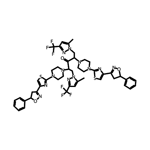 Cc1cc(C(F)(F)F)nn1CC(C(=O)C(Cn1nc(C(F)(F)F)cc1C)N1CCN(c2nc(C3=NOC(c4ccccc4)C3)cs2)CC1)N1CCN(c2nc(C3=NOC(c4ccccc4)C3)cs2)CC1